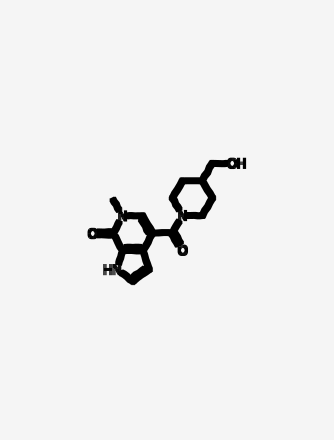 Cn1cc(C(=O)N2CCC(CO)CC2)c2cc[nH]c2c1=O